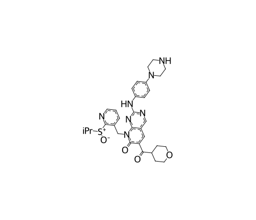 CC(C)[S+]([O-])c1ncccc1Cn1c(=O)c(C(=O)C2CCOCC2)cc2cnc(Nc3ccc(N4CCNCC4)cc3)nc21